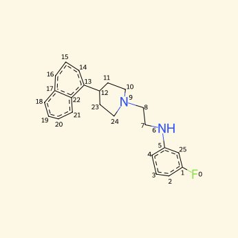 Fc1cccc(NCCN2CCC(c3cccc4ccccc34)CC2)c1